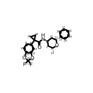 C[C@@H]1C[C@@H](NC(=O)C2(c3ccc4c(c3)OC(F)(F)O4)CC2)C[C@H](c2ccccc2)O1